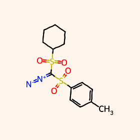 Cc1ccc(S(=O)(=O)C(=[N+]=[N-])S(=O)(=O)C2CCCCC2)cc1